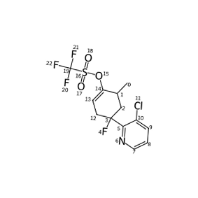 CC1CC(F)(c2ncccc2Cl)CC=C1OS(=O)(=O)C(F)(F)F